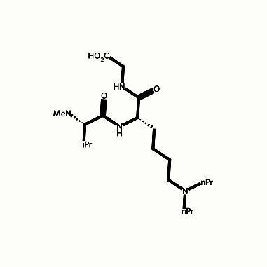 CCCN(CCC)CCCC[C@H](NC(=O)[C@@H](NC)C(C)C)C(=O)NCC(=O)O